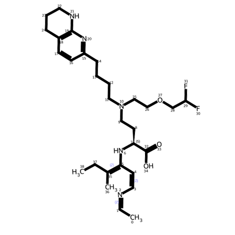 C\C=N/C=C\C(N[C@@H](CCN(CCCCc1ccc2c(n1)NCCC2)CCOCC(F)F)C(=O)O)=C(/C)CC